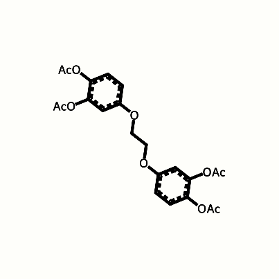 CC(=O)Oc1ccc(OCCOc2ccc(OC(C)=O)c(OC(C)=O)c2)cc1OC(C)=O